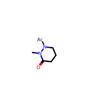 CC(=O)N1CCCC(=O)N1C